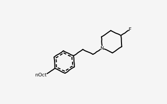 CCCCCCCCc1ccc(CCN2CCC(F)CC2)cc1